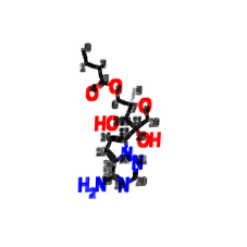 CCCC(=O)OC[C@@]1(C)OCC(O)(c2ccc3c(N)ncnn23)[C@@H]1O